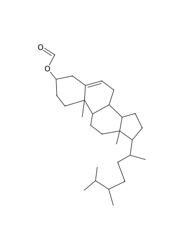 CC(C)C(C)CCC(C)C1CCC2C3CC=C4CC(OC=O)CCC4(C)C3CCC12C